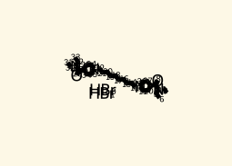 Br.Br.CCN(CC)C(=O)C1CCN(CCCCCCCCCCN2CCC(C(=O)N(CC)CC)CC2)CC1